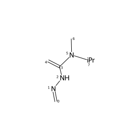 C=NNC(=C)N(C)C(C)C